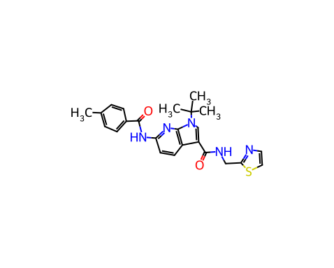 Cc1ccc(C(=O)Nc2ccc3c(C(=O)NCc4nccs4)cn(C(C)(C)C)c3n2)cc1